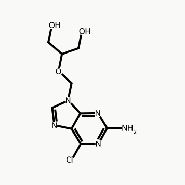 Nc1nc(Cl)c2ncn(COC(CO)CO)c2n1